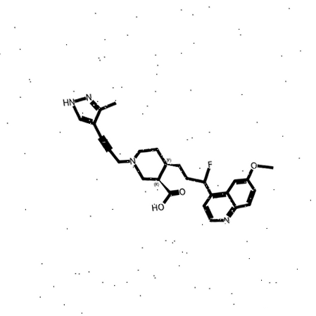 COc1ccc2nccc(C(F)CC[C@@H]3CCN(CC#Cc4c[nH]nc4C)C[C@@H]3C(=O)O)c2c1